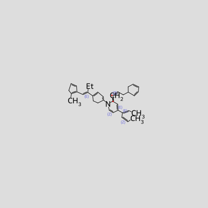 C=C/C=C(\C=C/N(C/C=C\CC1C=CC=CC1)C1=CC=C(/C(=C/C2=C(C)CC=C2)CC)CC1)C(/C=C\C)=C/C